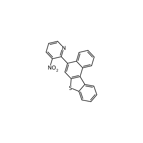 O=[N+]([O-])c1cccnc1-c1cc2sc3ccccc3c2c2ccccc12